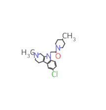 CC1CCN(C(=O)Cn2c3c(c4cc(Cl)ccc42)CCN(C)C3)CC1